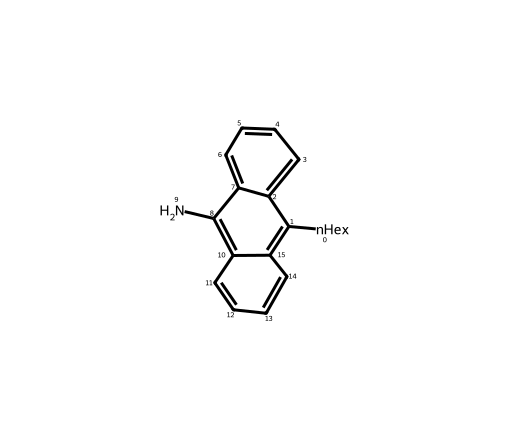 CCCCCCc1c2ccccc2c(N)c2ccccc12